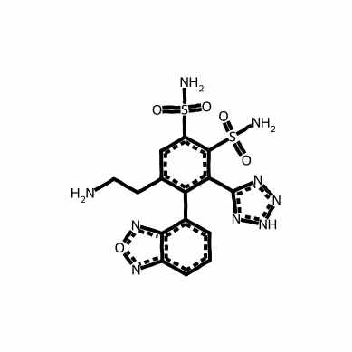 NCCc1cc(S(N)(=O)=O)c(S(N)(=O)=O)c(-c2nn[nH]n2)c1-c1cccc2nonc12